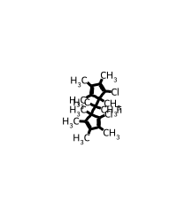 CC1=C(C)C(C)(C(C)(C)C2(C)C(C)=C(C)C(C)=C2Cl)C(Cl)=C1C.[Ti]